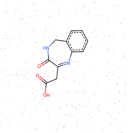 O=C(O)CC1=Nc2ccccc2CNC1=O